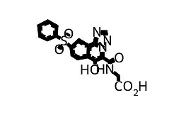 O=C(O)CNC(=O)c1c(O)c2ccc(S(=O)(=O)c3ccccc3)cc2c2ncnn12